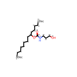 CCCCCCCCCCCCCCCCCC(CCCCCCCCCCCCCC)OC(=O)NCCCO